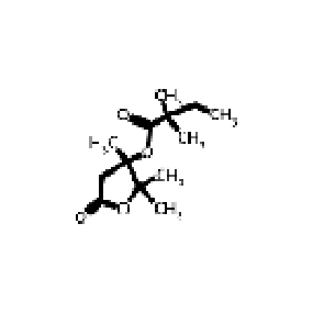 CCC(C)(C)C(=O)OC1(C)CC(=O)OC1(C)C